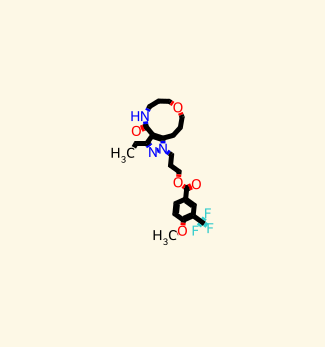 CCc1nn(CCCOC(=O)c2ccc(OC)c(C(F)(F)F)c2)c2c1C(=O)NCCCOCCC2